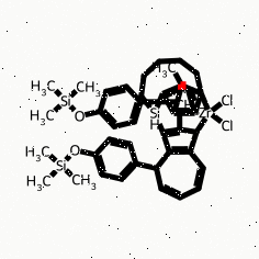 CC1=C2C3=C(C=CC=CC3c3ccc(O[Si](C)(C)C)cc3)[CH]1[Zr]([Cl])([Cl])[C]13CCCCC[SiH]2C(=C1C)C1=C3C=CC=CC1c1ccc(O[Si](C)(C)C)cc1